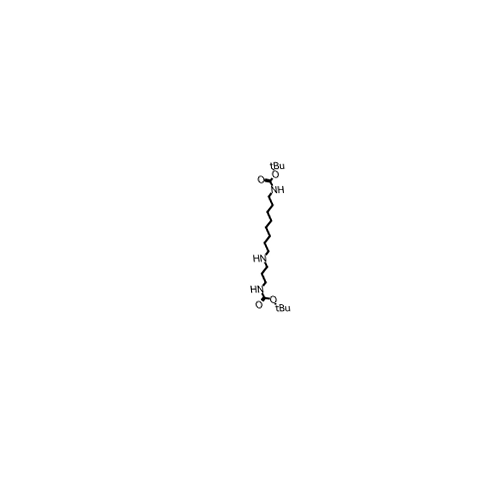 CC(C)(C)OC(=O)NCCCCCCCCNCCCNC(=O)OC(C)(C)C